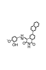 COc1ccc(CN/C=C2\C(=O)NC(=O)c3ccc(-c4ccc5ccccc5c4)cc32)cc1O